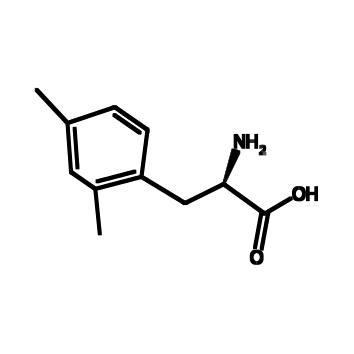 Cc1ccc(C[C@@H](N)C(=O)O)c(C)c1